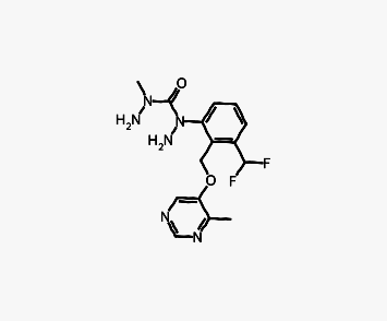 Cc1ncncc1OCc1c(C(F)F)cccc1N(N)C(=O)N(C)N